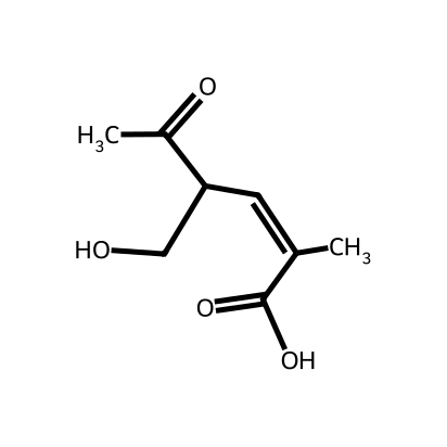 CC(=O)C(C=C(C)C(=O)O)CO